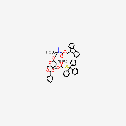 CC(=O)N[C@H]1[C@H](OCC(NC(=O)OCC2c3ccccc3-c3ccccc32)C(=O)O)OC2COC(c3ccccc3)O[C@H]2[C@@H]1OC(=O)CSC(c1ccccc1)(c1ccccc1)c1ccccc1